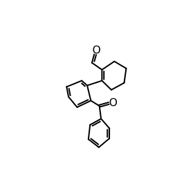 O=CC1=C(c2ccccc2C(=O)c2ccccc2)CCCC1